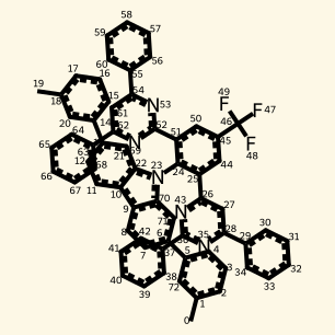 Cc1cccc(-c2ccc3c4ccc(-c5cccc(C)c5)cc4n(-c4c(-c5cc(-c6ccccc6)nc(-c6ccccc6)n5)cc(C(F)(F)F)cc4-c4nc(-c5ccccc5)cc(-c5ccccc5)n4)c3c2)c1